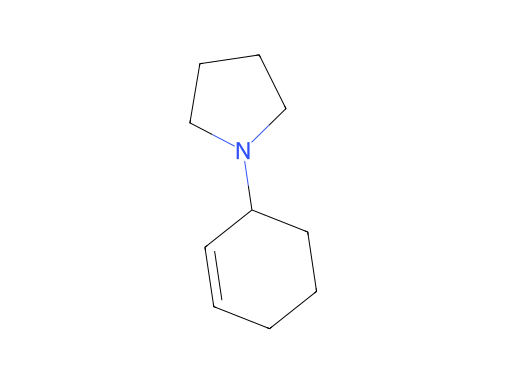 C1=CC(N2CCCC2)CCC1